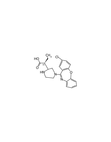 CC[C@H](C(=O)O)C1CN(C2=Nc3ccccc3Oc3ccc(Cl)cc32)CCN1